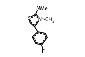 CNc1scc(-c2ccc(F)cc2)[n+]1C